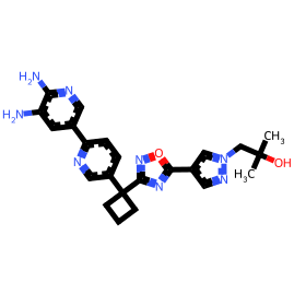 CC(C)(O)Cn1cc(-c2nc(C3(c4ccc(-c5cnc(N)c(N)c5)nc4)CCC3)no2)cn1